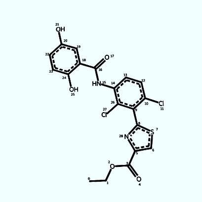 CCOC(=O)c1csc(-c2c(Cl)ccc(NC(=O)c3cc(O)ccc3O)c2Cl)n1